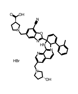 Br.Cc1ccccc1C1=CC=CC(Nc2nccc3cc(CN4CC[C@@H](O)C4)cnc23)(c2nc3cc(CN4CC[C@@H](C(=O)O)C4)cc(C#N)c3o2)C1C